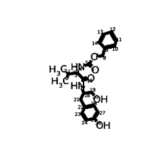 CC(C)[C@H](NC(=O)OCc1ccccc1)C(=O)NC(CO)Cc1ccc(O)cc1